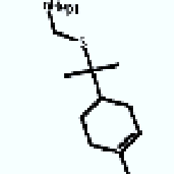 CCCCCCCCSC(C)(C)C1CC=C(C)CC1